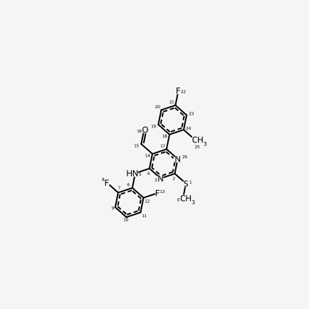 CSc1nc(Nc2c(F)cccc2F)c(C=O)c(-c2ccc(F)cc2C)n1